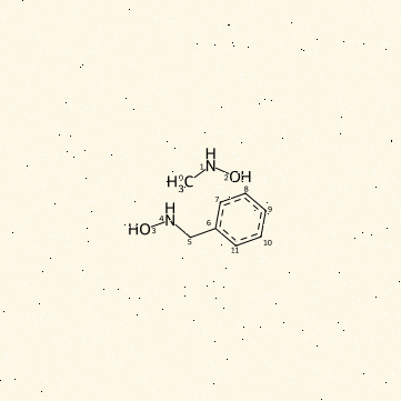 CNO.ONCc1ccccc1